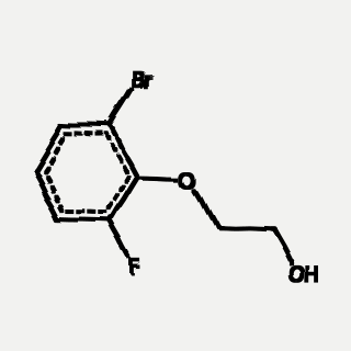 OCCOc1c(F)cccc1Br